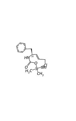 CC(C)(C)[Si](C)(C)OC(=O)N[C@H](C=CCCl)Cc1ccccc1